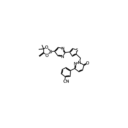 C=C1OB(c2cnc(-c3csc(Cn4nc(-c5cccc(C#N)c5)ccc4=O)c3)nc2)OC1(C)C